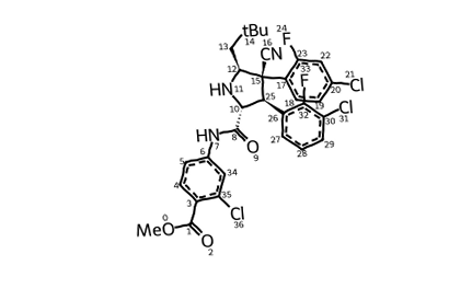 COC(=O)c1ccc(NC(=O)[C@@H]2N[C@@H](CC(C)(C)C)[C@](C#N)(c3ccc(Cl)cc3F)[C@H]2c2cccc(Cl)c2F)cc1Cl